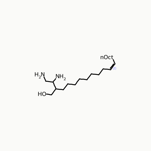 CCCCCCCC/C=C\CCCCCCCCC(CO)C(N)CN